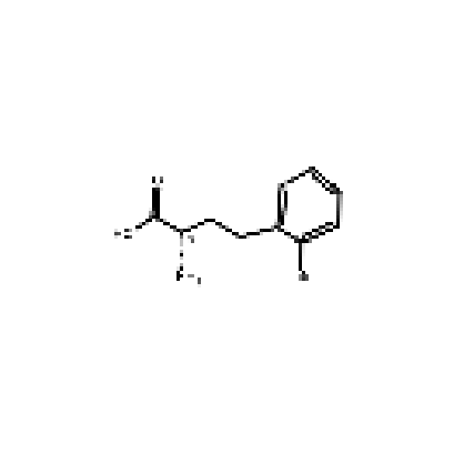 N[C@@H](CCc1ccccc1Br)C(=O)O